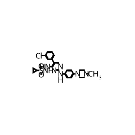 CN1CCN(c2ccc(Nc3ncc(-c4cccc(Cl)c4)c(NNS(=O)(=O)C4CC4)n3)cc2)CC1